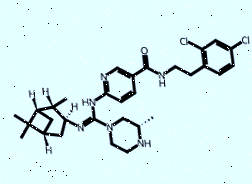 C[C@@H]1[C@@H](/N=C(\Nc2ccc(C(=O)NCCc3ccc(Cl)cc3Cl)cn2)N2CCN[C@@H](C)C2)C[C@H]2C[C@@H]1C2(C)C